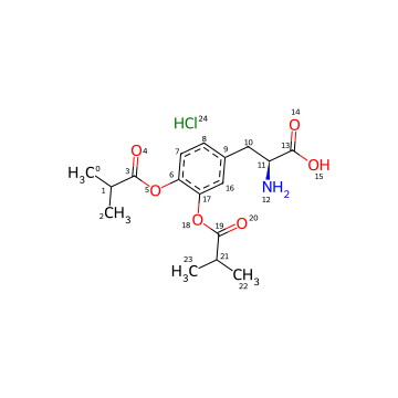 CC(C)C(=O)Oc1ccc(C[C@H](N)C(=O)O)cc1OC(=O)C(C)C.Cl